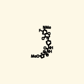 CNc1cc2c(cc1F)C(=O)N(c1ccc(NC(=O)NS(=O)(=O)c3ccc(OC)s3)cc1)CO2